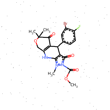 COC(=O)n1c(=O)c2c(n1C)NC1=C(C(=O)C(C)(C)OC1)C2c1ccc(F)c(Br)c1